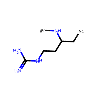 CC(=O)CC(CCNC(=N)N)NC(C)C